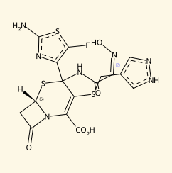 Nc1nc(C2(NC(=O)/C=N\O)S[C@H]3CC(=O)N3C(C(=O)O)=C2SCc2cn[nH]c2)c(F)s1